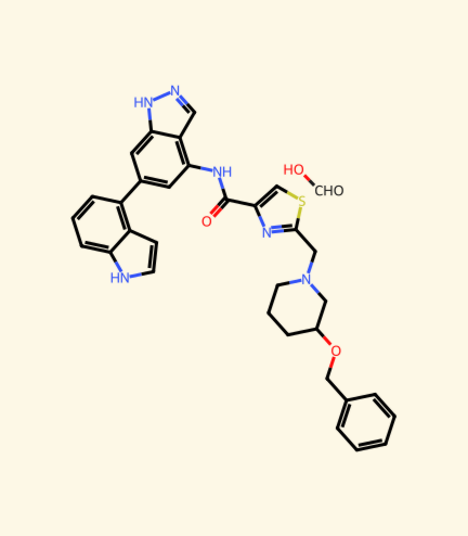 O=C(Nc1cc(-c2cccc3[nH]ccc23)cc2[nH]ncc12)c1csc(CN2CCCC(OCc3ccccc3)C2)n1.O=CO